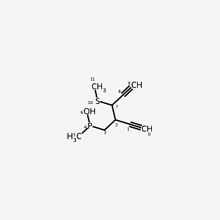 C#CC(CP(C)O)C(C#C)SC